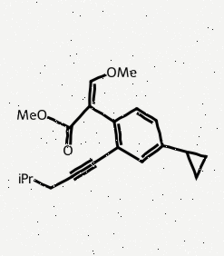 CO/C=C(/C(=O)OC)c1ccc(C2CC2)cc1C#CCC(C)C